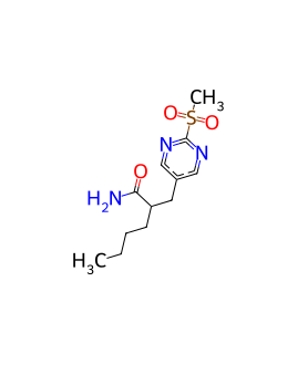 CCCCC(Cc1cnc(S(C)(=O)=O)nc1)C(N)=O